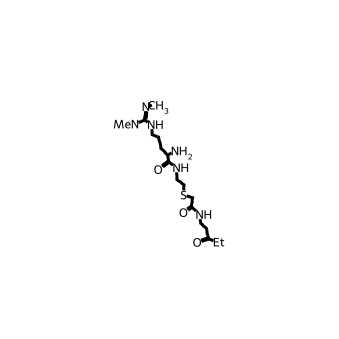 CCC(=O)CCNC(=O)CSCCNC(=O)C(N)CCCN/C(=N\C)NC